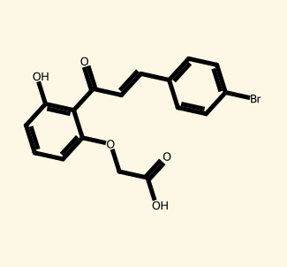 O=C(O)COc1cccc(O)c1C(=O)/C=C/c1ccc(Br)cc1